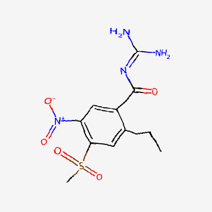 CCc1cc(S(C)(=O)=O)c([N+](=O)[O-])cc1C(=O)N=C(N)N